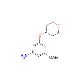 COc1cc(N)cc(OC2CCOCC2)c1